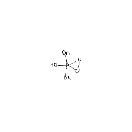 BP1(O)(O)OO1